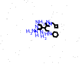 NNc1nc(N)cc(C(CCNC2CCCCC2)c2cnn(CC3CCC3)c2)c1N